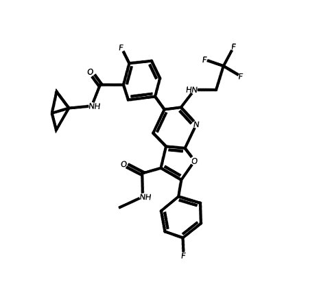 CNC(=O)c1c(-c2ccc(F)cc2)oc2nc(NCC(F)(F)F)c(-c3ccc(F)c(C(=O)NC45CC4C5)c3)cc12